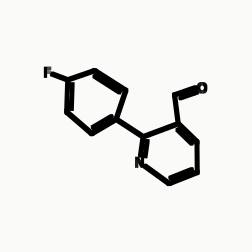 O=Cc1cccnc1-c1ccc(F)cc1